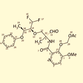 COc1ccnc(C(=O)N[C@](C)(C=O)CO[C@H](C(F)F)[C@H](C)Oc2ccccc2)c1OCOC(C)=O